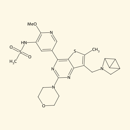 COc1ncc(-c2nc(N3CCOCC3)nc3c(CN4CC5C6C5C64)c(C)sc23)cc1NS(C)(=O)=O